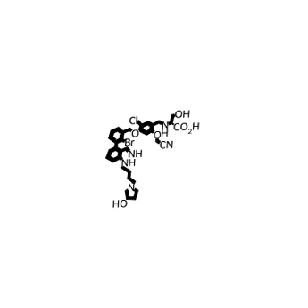 N#CCOc1cc(OCc2cccc(-c3cccc(NCCCCN4CC[C@@H](O)C4)c3C=N)c2Br)c(Cl)cc1CN[C@@H](CO)C(=O)O